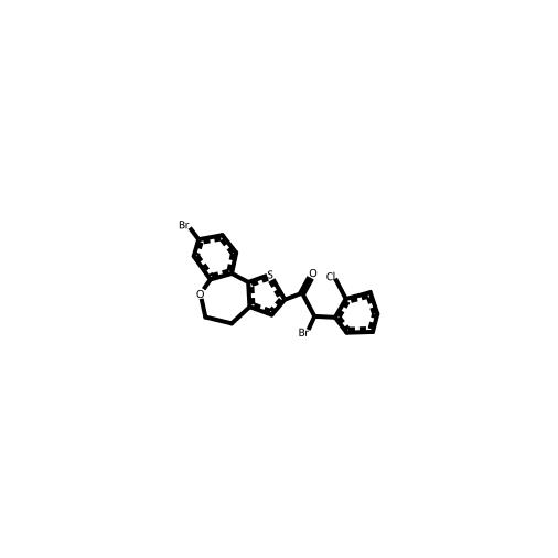 O=C(c1cc2c(s1)-c1ccc(Br)cc1OCC2)C(Br)c1ccccc1Cl